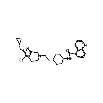 CCc1c2c(nn1CC1CC1)CN(CC[C@H]1CC[C@H](NC(=O)c3cccc4ncccc34)CC1)CC2